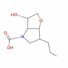 CCCC1CN(C(=O)O)C2C(O)COC12